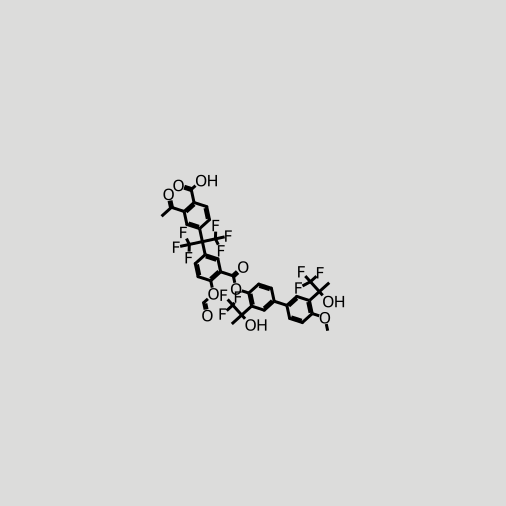 COc1ccc(-c2ccc(OC(=O)c3cc(C(c4ccc(C(=O)O)c(C(C)=O)c4)(C(F)(F)F)C(F)(F)F)ccc3OC=O)c(C(C)(O)C(F)(F)F)c2)cc1C(C)(O)C(F)(F)F